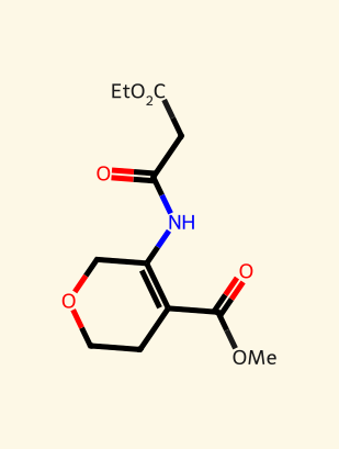 CCOC(=O)CC(=O)NC1=C(C(=O)OC)CCOC1